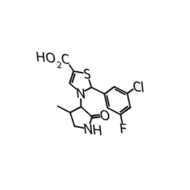 CC1CNC(=O)C1N1C=C(C(=O)O)SC1c1cc(F)cc(Cl)c1